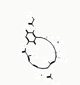 CCC(=O)NC1=C2C[C@@H](C)C[C@H](OC)[C@H](O)[C@@H](C)/C=C(\C)[C@H](OC(N)=O)[C@H](OC)/C=C\C=C(/C)C(=O)NC(=CC1=O)C2=O